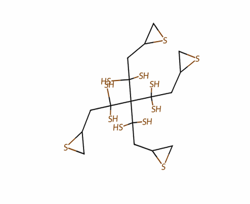 SC(S)(CC1CS1)C(C(S)(S)CC1CS1)(C(S)(S)CC1CS1)C(S)(S)CC1CS1